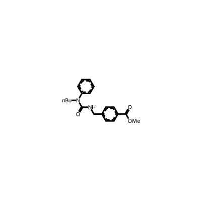 CCCCN(C(=O)NCc1ccc(C(=O)OC)cc1)c1ccccc1